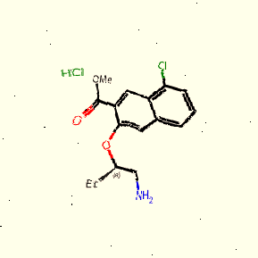 CC[C@H](CN)Oc1cc2cccc(Cl)c2cc1C(=O)OC.Cl